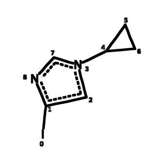 Ic1cn(C2CC2)cn1